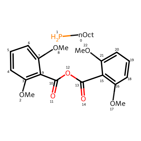 CCCCCCCCP.COc1cccc(OC)c1C(=O)OC(=O)c1c(OC)cccc1OC